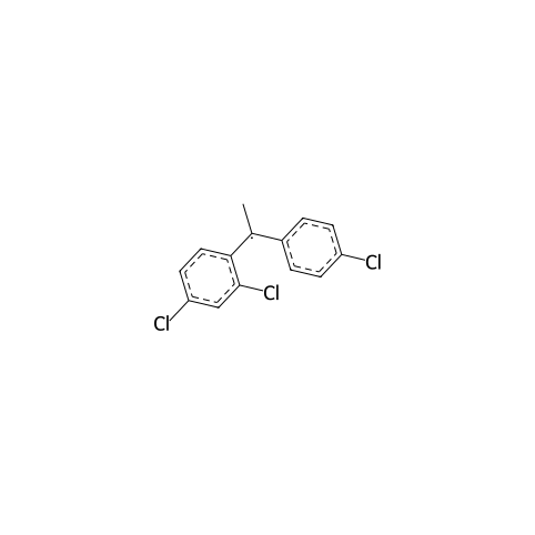 C[C](c1ccc(Cl)cc1)c1ccc(Cl)cc1Cl